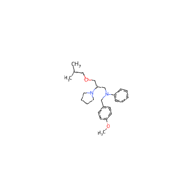 COc1ccc(CN(CC(COCC(C)C)N2CCCC2)c2ccccc2)cc1